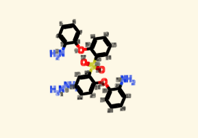 N.N.Nc1ccccc1Oc1ccccc1S(=O)(=O)c1ccccc1Oc1ccccc1N